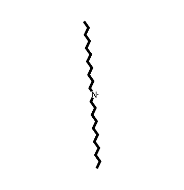 CCCCCCCCCCC[N]CCCCCCCCCCC